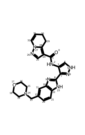 O=C(Nc1c[nH]nc1-c1nc2cc(CN3CCOCC3)ccc2[nH]1)c1cnn2c1CCC=C2